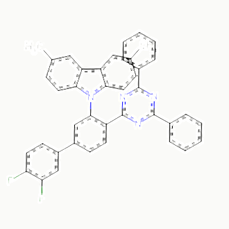 Cc1ccc2c(c1)c1cc(C)ccc1n2-c1cc(-c2ccc(F)c(F)c2)ccc1-c1nc(-c2ccccc2)nc(-c2ccccc2)n1